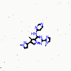 Cc1c(-c2ccn(C)n2)cn2nc(-c3nccn3C)nc(Nc3ccncn3)c12